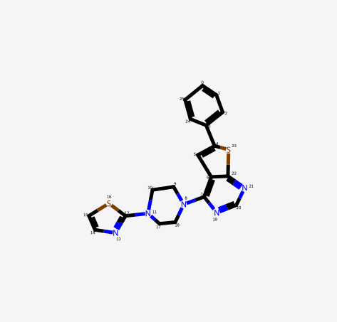 c1ccc(-c2cc3c(N4CCN(c5nccs5)CC4)ncnc3s2)cc1